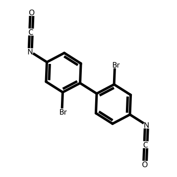 O=C=Nc1ccc(-c2ccc(N=C=O)cc2Br)c(Br)c1